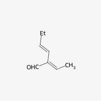 C/C=C(C=O)\C=C\CC